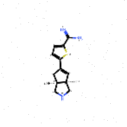 N=C(N)c1ccc(C2=C[C@H]3CNC[C@H]3C2)s1